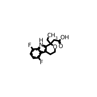 CCC1(CC(=O)O)OCCc2c1[nH]c1c(F)ccc(F)c21